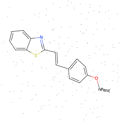 CCCCCOc1ccc(C=Cc2nc3ccccc3s2)cc1